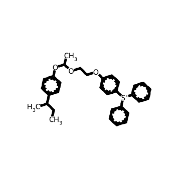 CCC(C)c1ccc(OC(C)OCCOc2ccc([S+](c3ccccc3)c3ccccc3)cc2)cc1